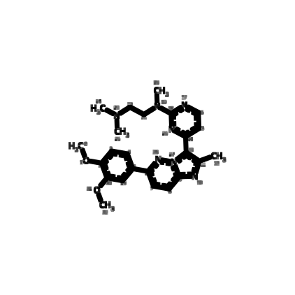 COc1ccc(-c2ccc3nc(C)c(-c4ccnc(N(C)CCN(C)C)n4)n3n2)cc1OC